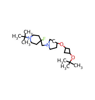 CC(C)(C)OC1CC(OC2CCN(CC3(F)CCN(C(C)(C)C)CC3)CC2)C1